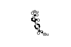 CC(C)(C)OC(=O)N1CCN(C2CCN(C(=O)OC(C)(C)C)C2=O)CC1